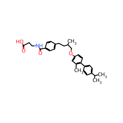 Cc1cc(OCC(C)CCc2ccc(C(=O)NCCC(=O)O)cc2)ccc1-c1ccc(C(C)C)cc1